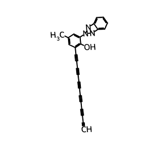 C#CC#CC#CC#CC#CC#Cc1cc(C)cc(-n2n3c4ccccc4n23)c1O